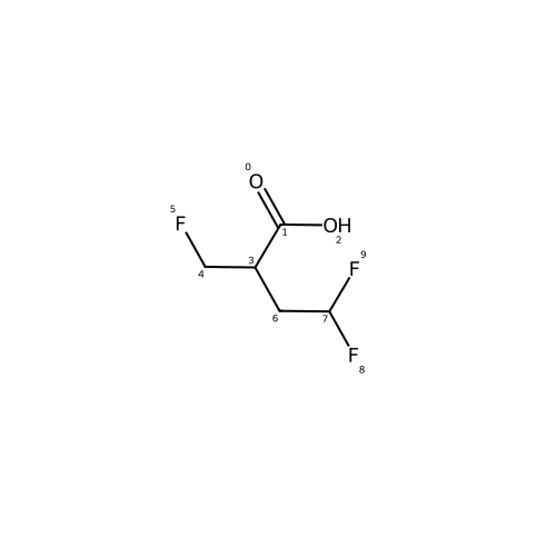 O=C(O)C(CF)CC(F)F